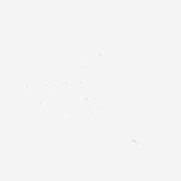 COCCOc1ccc(-c2c(-c3ccc(C#N)c(F)c3)nc(N)n(C)c2=O)cc1